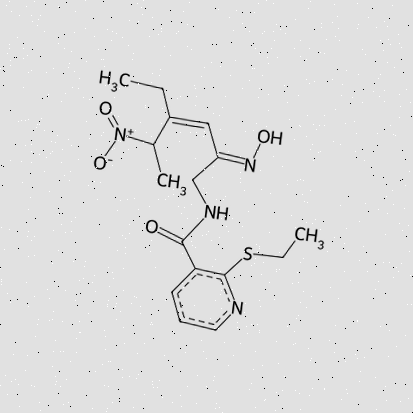 CCSc1ncccc1C(=O)NCC(C=C(CC)C(C)[N+](=O)[O-])=NO